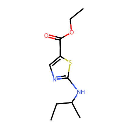 CCOC(=O)c1cnc(NC(C)CC)s1